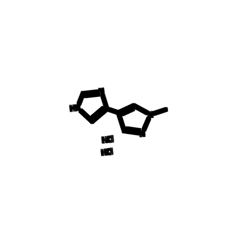 Cl.Cl.Cn1cc(-c2c[nH]cn2)cn1